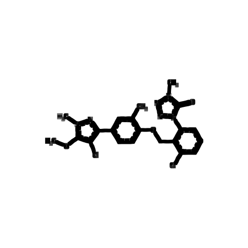 COc1c(Cl)c(-c2ccc(OCc3c(Cl)cccc3-n3nnn(C)c3=O)c(C)c2)nn1C